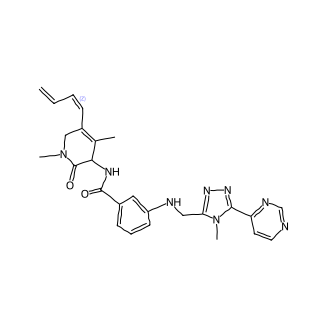 C=C/C=C\C1=C(C)C(NC(=O)c2cccc(NCc3nnc(-c4ccncn4)n3C)c2)C(=O)N(C)C1